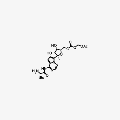 CC(=O)OCOC(=O)OC[C@H]1O[C@@](C)(c2ccc3c(NC(=O)[C@@H](N)C(C)(C)C)ncnn23)[C@H](O)[C@@H]1O